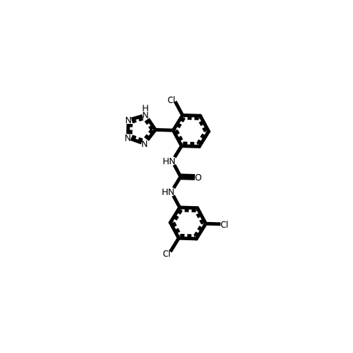 O=C(Nc1cc(Cl)cc(Cl)c1)Nc1cccc(Cl)c1-c1nnn[nH]1